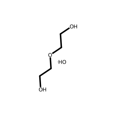 OCCOCCO.[OH]